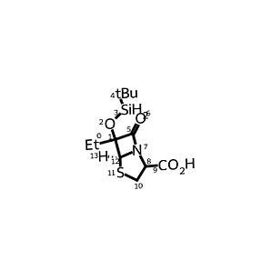 CCC1(O[SiH2]C(C)(C)C)C(=O)N2C(C(=O)O)CS[C@H]21